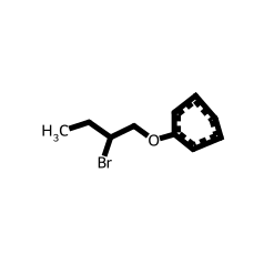 CCC(Br)COc1ccccc1